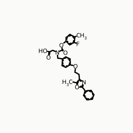 Cc1ccc(OC(=O)N(CC(=O)O)Cc2ccc(OCCc3nc(-c4ccccc4)oc3C)cc2)cc1F